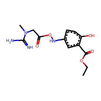 CCOC(=O)c1cc(NOC(=O)CN(C)C(=N)N)ccc1O